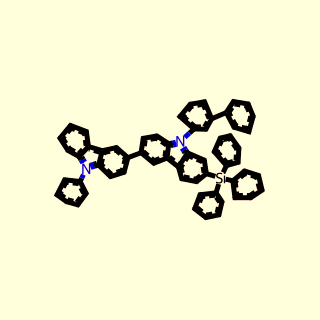 c1ccc(-c2cccc(-n3c4ccc(-c5ccc6c(c5)c5ccccc5n6-c5ccccc5)cc4c4ccc([Si](c5ccccc5)(c5ccccc5)c5ccccc5)cc43)c2)cc1